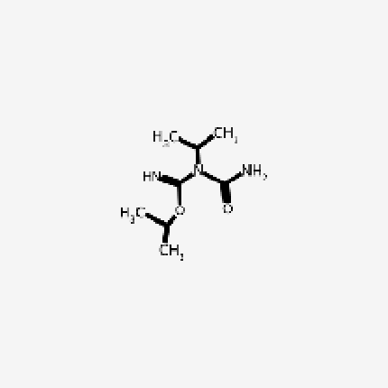 CC(C)OC(=N)N(C(N)=O)C(C)C